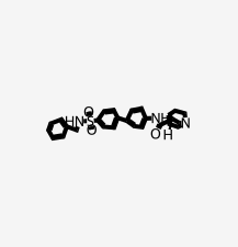 O=C(Nc1ccc(-c2ccc(S(=O)(=O)NCc3ccccc3)cc2)cc1)[C@H]1CN2CCC1CC2